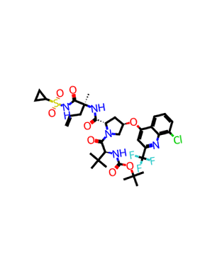 C=CC[C@](C)(NC(=O)[C@@H]1C[C@@H](Oc2cc(C(F)(F)F)nc3c(Cl)cccc23)CN1C(=O)[C@@H](NC(=O)OC(C)(C)C)C(C)(C)C)C(=O)NS(=O)(=O)C1CC1